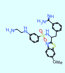 COc1ccc2nc(C(Cc3cccc(C(=N)N)c3)NS(=O)(=O)c3cccc(NCCN)c3)sc2c1